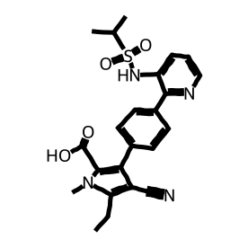 CCc1c(C#N)c(-c2ccc(-c3ncccc3NS(=O)(=O)C(C)C)cc2)c(C(=O)O)n1C